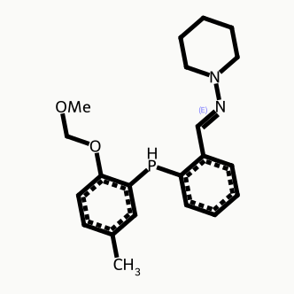 COCOc1ccc(C)cc1Pc1ccccc1/C=N/N1CCCCC1